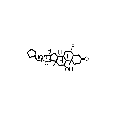 C[C@]12C=CC(=O)C=C1[C@@H](F)C[C@H]1[C@@H]3C[C@H]4CN(CC5CCCC5)O[C@@]4(C(=O)O)[C@@]3(C)C[C@H](O)[C@@]12F